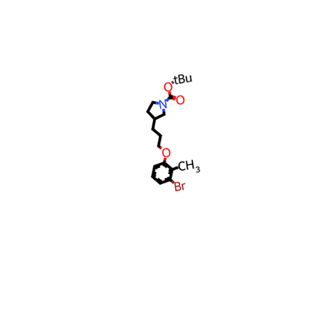 Cc1c(Br)cccc1OCCCC1CCN(C(=O)OC(C)(C)C)C1